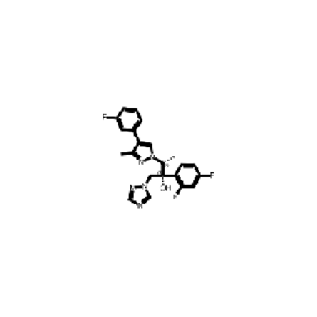 Cc1nn([C@H](C)[C@](O)(Cn2cncn2)c2ccc(F)cc2F)cc1-c1cccc(F)c1